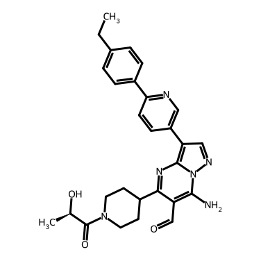 CCc1ccc(-c2ccc(-c3cnn4c(N)c(C=O)c(C5CCN(C(=O)[C@@H](C)O)CC5)nc34)cn2)cc1